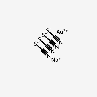 N#C[S-].N#C[S-].N#C[S-].N#C[S-].[Au+3].[Na+]